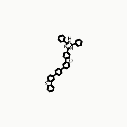 c1ccc(C2=NC(c3ccc4c(c3)oc3ccc(-c5ccc(-c6ccc7sc8ccccc8c7c6)cc5)cc34)=NC(c3ccccc3)N2)cc1